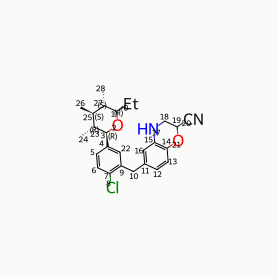 CC[C@H]1O[C@@H](c2ccc(Cl)c(Cc3ccc4c(c3)NCC(C#N)O4)c2)[C@H](C)[C@@H](C)[C@@H]1C